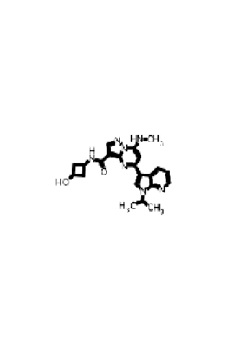 CNc1cc(-c2cn(C(C)C)c3ncccc23)nc2c(C(=O)NC3CC(O)C3)cnn12